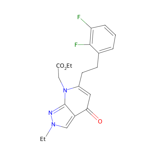 CCOC(=O)Cn1c(CCc2cccc(F)c2F)cc(=O)c2cn(CC)nc21